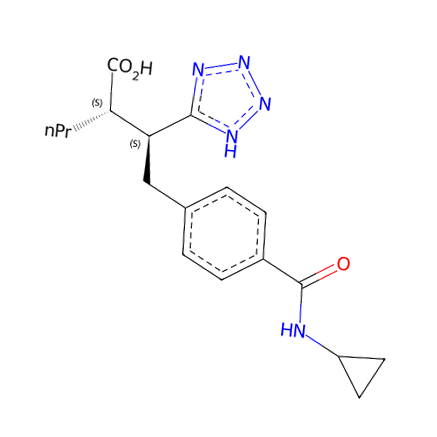 CCC[C@H](C(=O)O)[C@H](Cc1ccc(C(=O)NC2CC2)cc1)c1nnn[nH]1